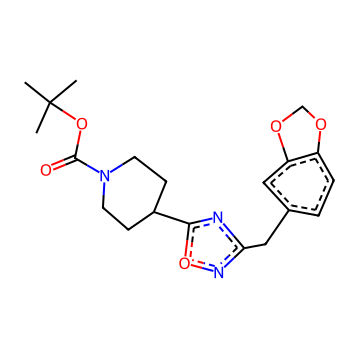 CC(C)(C)OC(=O)N1CCC(c2nc(Cc3ccc4c(c3)OCO4)no2)CC1